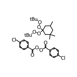 CC1CC(C)(C)CC(OOC(C)(C)C)(OOC(C)(C)C)C1.O=C(OOC(=O)c1ccc(Cl)cc1)c1ccc(Cl)cc1